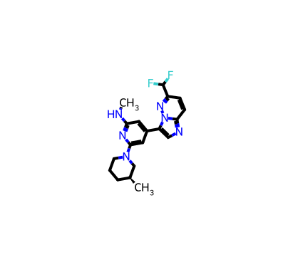 CNc1cc(-c2cnc3ccc(C(F)F)nn23)cc(N2CCC[C@H](C)C2)n1